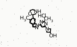 Cc1nc(N2CC(O)C2)cc(-n2ncc3cc(C)c(C4CNCCO4)cc32)n1.Cl